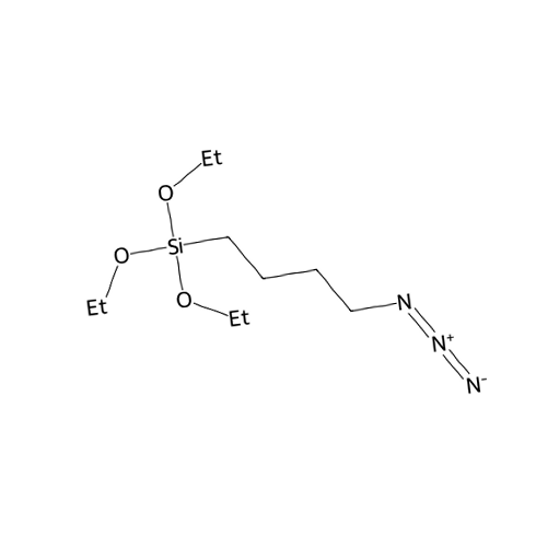 CCO[Si](CCCCN=[N+]=[N-])(OCC)OCC